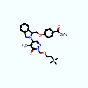 COC(=O)c1ccc(OCC2c3ccccc3CN2c2cnn(COCC[Si](C)(C)C)c(=O)c2C(F)(F)F)cc1